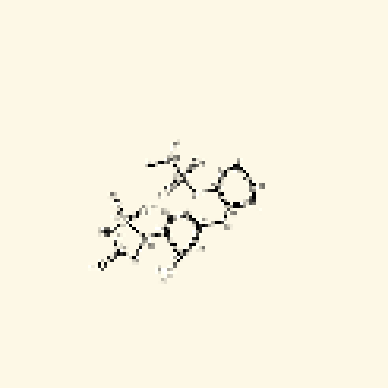 CN(C)S(=O)(=O)Cc1ccccc1Cc1ccc(N2CC(=O)NS2(=O)=O)c(O)c1